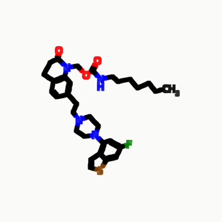 CCCCCCCNC(=O)OCN1C(=O)CCc2ccc(CCN3CCN(c4cc(F)cc5sccc45)CC3)cc21